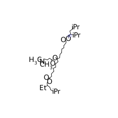 CCC(CCC(C)C)COC(=O)CCCCCCCC(CCCCCCCC(=O)O/C=C(/CCC(C)C)C(C)C)OC(=O)CCCN(C)C